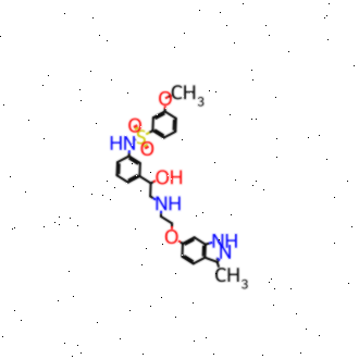 COc1cccc(S(=O)(=O)Nc2cccc(C(O)CNCCOc3ccc4c(C)n[nH]c4c3)c2)c1